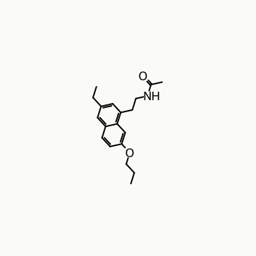 CCCOc1ccc2cc(CC)cc(CCNC(C)=O)c2c1